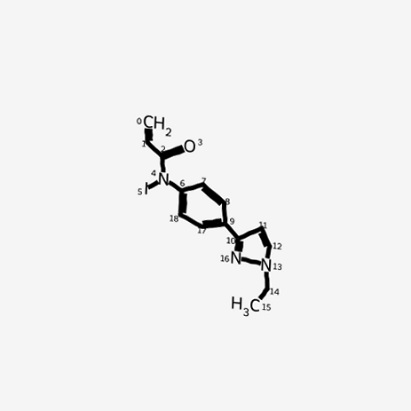 C=CC(=O)N(I)c1ccc(-c2ccn(CC)n2)cc1